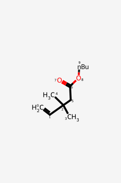 C=CC(C)(C)CC(=O)OCCCC